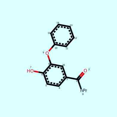 CCCC(=O)c1ccc(O)c(Oc2ccccc2)c1